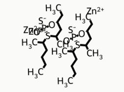 CCCCC(C)S(C(C)CCCC)=P([O-])([O-])[S-].CCCCC(C)S(C(C)CCCC)=P([O-])([O-])[S-].[Zn+2].[Zn+2].[Zn+2]